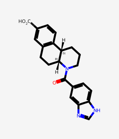 O=C(O)c1ccc2c(c1)CC[C@@H]1[C@H]2CCCN1C(=O)c1ccc2[nH]cnc2c1